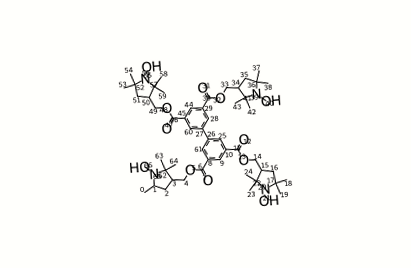 CC1CC(COC(=O)c2cc(C(=O)OCC3CC(C)(C)N(O)C3(C)C)cc(-c3cc(C(=O)OCC4CC(C)(C)N(O)C4(C)C)cc(C(=O)OCC4CC(C)(C)N(O)C4(C)C)c3)c2)C(C)(C)N1O